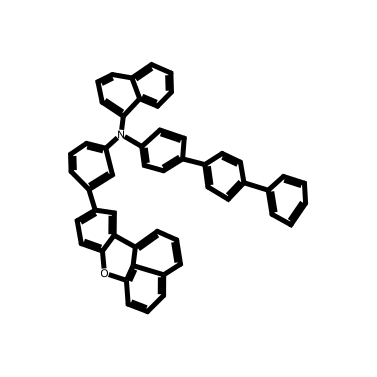 c1ccc(-c2ccc(-c3ccc(N(c4cccc(-c5ccc6c(c5)-c5cccc7cccc(c57)O6)c4)c4cccc5ccccc45)cc3)cc2)cc1